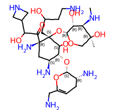 CN[C@@H]1[C@@H](O)[C@@H](O[C@]2(CC(O)CCN)[C@@H](O)[C@H](O[C@H]3OC(CN)=CC[C@H]3N)[C@@H](N)C[C@]2(N)C(=O)C(O)C2CNC2)OC[C@]1(C)O